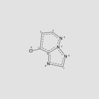 Clc1ccnn2ncnc12